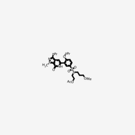 CCCOc1ccc(S(=O)(=O)N(CCCOC)CCOC(C)=O)cc1-c1cc2c(CCC)nn(C)c2c(=O)[nH]1